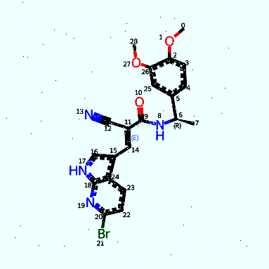 COc1ccc([C@@H](C)NC(=O)/C(C#N)=C/c2c[nH]c3nc(Br)ccc23)cc1OC